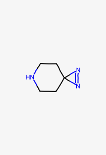 C1CC2(CCN1)N=N2